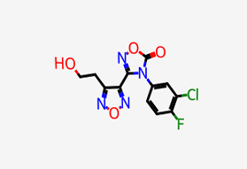 O=c1onc(-c2nonc2CCO)n1-c1ccc(F)c(Cl)c1